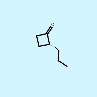 CCC[C@@H]1CCC1=O